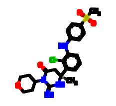 C[C@@]1(c2cccc(Nc3ccc(S(C)(=O)=O)cc3)c2Cl)CC(=O)N(C2CCOCC2)C(=N)N1